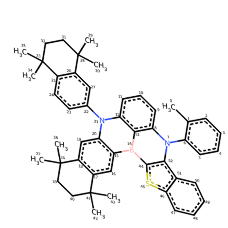 Cc1ccccc1N1c2cccc3c2B(c2cc4c(cc2N3c2ccc3c(c2)C(C)(C)CCC3(C)C)C(C)(C)CCC4(C)C)c2sc3ccccc3c21